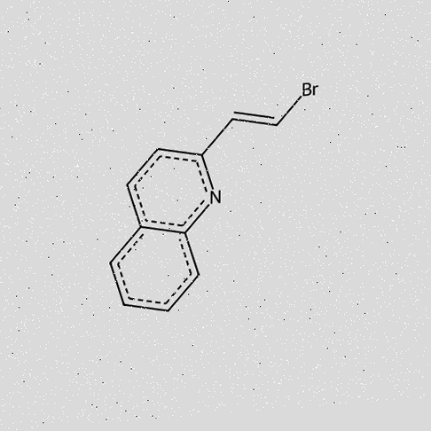 BrC=Cc1ccc2ccccc2n1